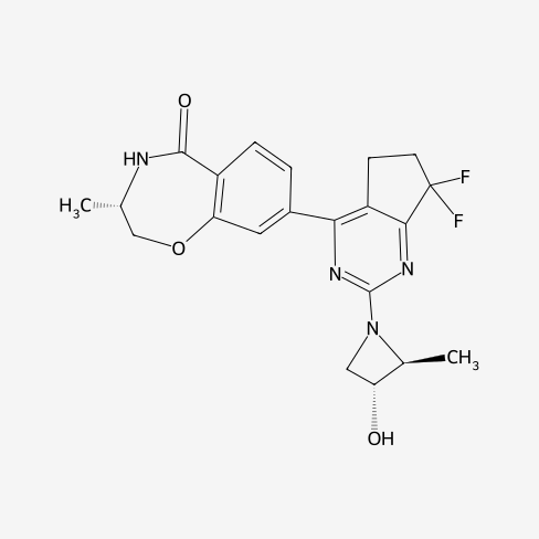 C[C@H]1COc2cc(-c3nc(N4C[C@@H](O)[C@@H]4C)nc4c3CCC4(F)F)ccc2C(=O)N1